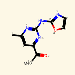 COC(=O)c1cc(C)nc(Nc2ncco2)n1